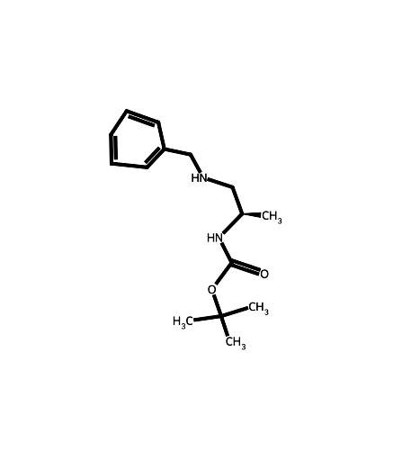 C[C@H](CNCc1ccccc1)NC(=O)OC(C)(C)C